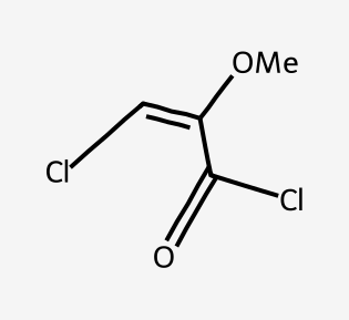 COC(=CCl)C(=O)Cl